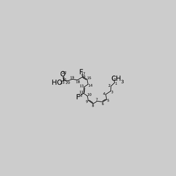 CCCCC/C=C\C/C=C\C/C(F)=C\C/C=C(/F)CCCC(=O)O